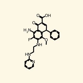 COc1c(NCCNc2ccccn2)c(F)c(N)c2c1C(c1ccccc1)C=C(C(=O)O)C2=O